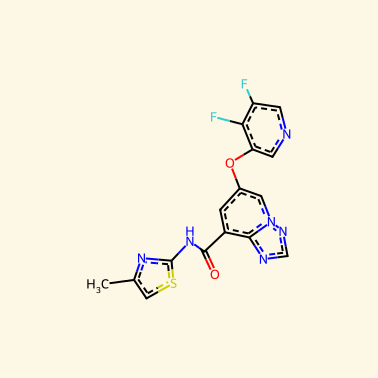 Cc1csc(NC(=O)c2cc(Oc3cncc(F)c3F)cn3ncnc23)n1